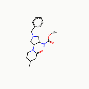 CC1CCN(C2CN(Cc3ccccc3)CC2NC(=O)OC(C)(C)C)C(=O)C1